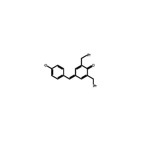 CC(C)CC1=CC(=Cc2ccc([O])cc2)C=C(CC(C)C)C1=O